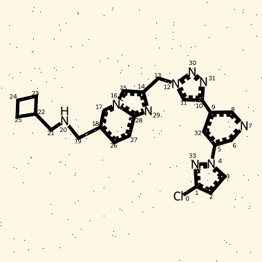 Clc1ccn(-c2cncc(-c3cn(Cc4cn5cc(CNCC6CCC6)ccc5n4)nn3)c2)n1